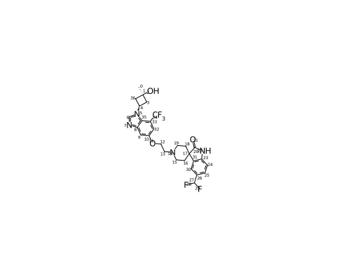 C[C@]1(O)C[C@@H](n2cnc3cc(OCCN4CCC5(CC4)C(=O)Nc4ccc(C(F)F)cc45)cc(C(F)(F)F)c32)C1